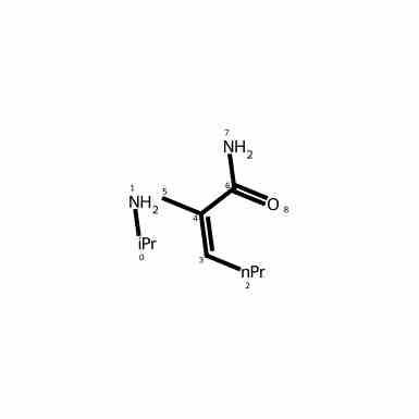 CC(C)N.CCCC=C(C)C(N)=O